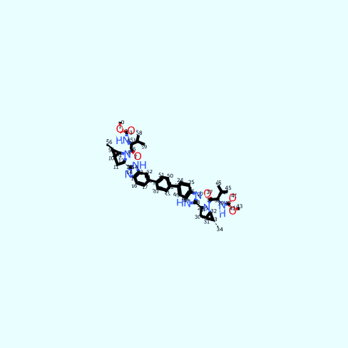 COC(=O)NC(C(=O)N1C2C(C[C@H]1c1nc3ccc(-c4ccc(-c5ccc6nc([C@@H]7CC8C([C@@H]8C)N7C(=O)[C@@H](NC(=O)OC)C(C)C)[nH]c6c5)cc4)cc3[nH]1)[C@H]2C)C(C)C